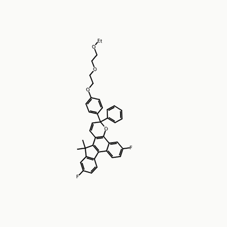 CCOCCOCCOc1ccc(C2(c3ccccc3)C=Cc3c4c(c5ccc(F)cc5c3O2)-c2ccc(F)cc2C4(C)C)cc1